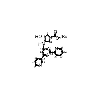 CC(C)(C)OC(=O)N1C[C@@H](O)[C@@H](Nc2cc(-c3cccnc3)nc(-c3ccccn3)n2)C1